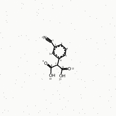 N#Cc1cccc(C(C(=O)O)C(=O)O)c1